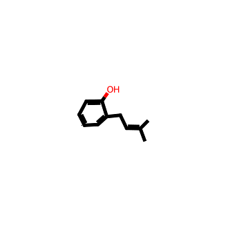 CC(C)=CCc1c[c]ccc1O